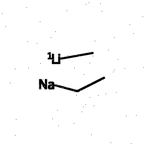 C[CH2][Na].[1Li][CH3]